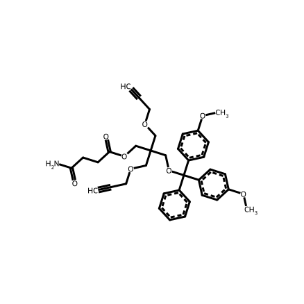 C#CCOCC(COCC#C)(COC(=O)CCC(N)=O)COC(c1ccccc1)(c1ccc(OC)cc1)c1ccc(OC)cc1